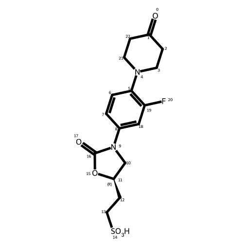 O=C1CCN(c2ccc(N3C[C@@H](CCS(=O)(=O)O)OC3=O)cc2F)CC1